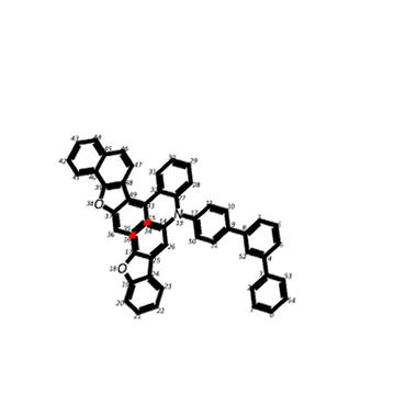 c1ccc(-c2cccc(-c3ccc(N(c4ccc5oc6ccccc6c5c4)c4ccccc4-c4cccc5oc6c7ccccc7ccc6c45)cc3)c2)cc1